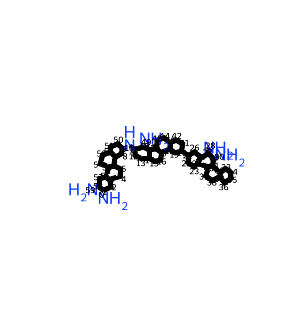 Nc1cc2ccc3c4cc(Nc5ccc6ccc7c8cc(-c9ccc%10c(c9)c(N)c(N)c9c%11ccccc%11ccc%109)ccc8ccc7c6c5N)ccc4ccc3c2cc1N